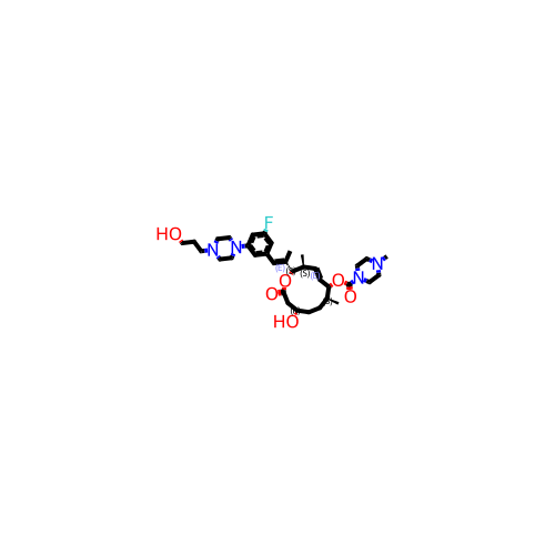 C/C(=C\c1cc(F)cc(N2CCN(CCCO)CC2)c1)[C@H]1OC(=O)C[C@H](O)CC[C@H](C)C(OC(=O)N2CCN(C)CC2)/C=C/[C@@H]1C